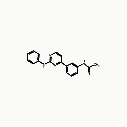 CC(=O)Nc1cccc(-c2ccnc(Nc3ccccc3)n2)c1